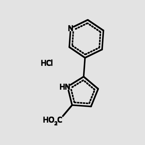 Cl.O=C(O)c1ccc(-c2cccnc2)[nH]1